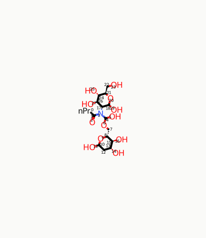 CCCC(=O)N(C(O)OC[C@H]1OC(O)C[C@@H](O)[C@@H]1O)[C@H]1C(O)O[C@H](CO)[C@@H](O)[C@@H]1O